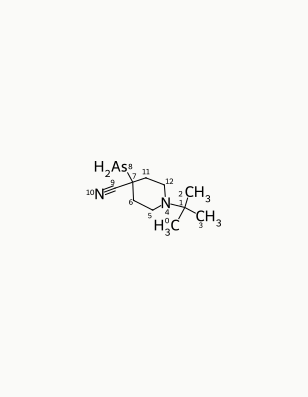 CC(C)(C)N1CCC([AsH2])(C#N)CC1